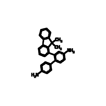 CC1(C)c2ccccc2-c2cccc(-c3cc(N)ccc3-c3ccc(N)cc3)c21